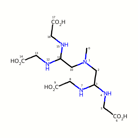 CN(CC(NCC(=O)O)NCC(=O)O)CC(NCC(=O)O)NCC(=O)O